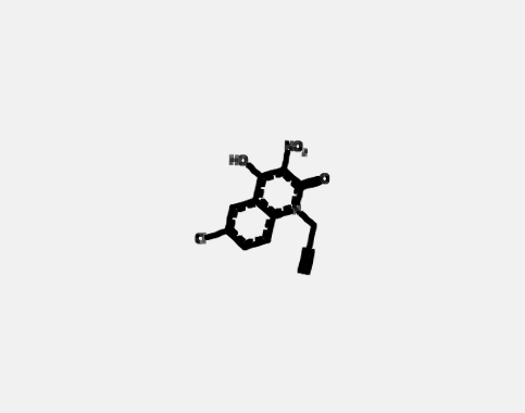 C#CCn1c(=O)c([N+](=O)[O-])c(O)c2cc(Cl)ccc21